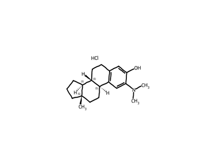 CN(C)c1cc2c(cc1O)CC[C@@H]1[C@@H]2CC[C@]2(C)CCC[C@@H]12.Cl